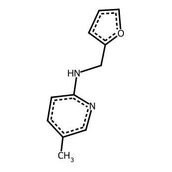 Cc1ccc(NCc2ccco2)nc1